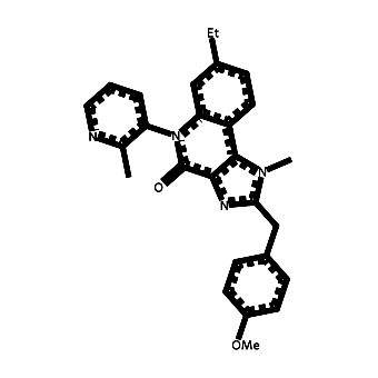 CCc1ccc2c3c(nc(Cc4ccc(OC)cc4)n3C)c(=O)n(-c3cccnc3C)c2c1